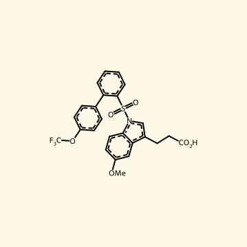 COc1ccc2c(c1)c(CCC(=O)O)cn2S(=O)(=O)c1ccccc1-c1ccc(OC(F)(F)F)cc1